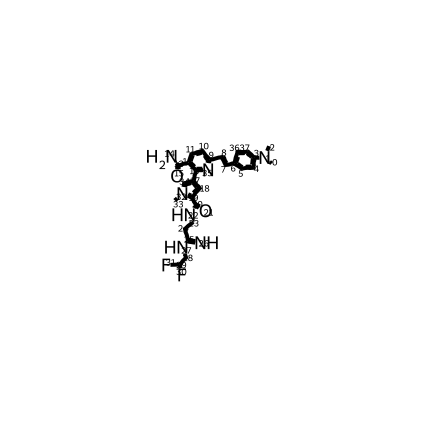 CN(C)c1ccc(C=Cc2ccc(C(N)=O)c(-c3cc(C(=O)NCCC(=N)NCC(F)F)n(C)c3)n2)cc1